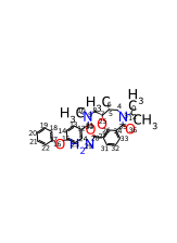 CC(C)N1C[C@@H](C)[C@H](CN(C)Cc2ccc(Oc3ccccc3)cc2)Oc2c(C(N)=O)cccc2C1=O